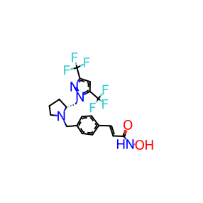 O=C(/C=C/c1ccc(CN2CCC[C@@H]2Cn2nc(C(F)(F)F)cc2C(F)(F)F)cc1)NO